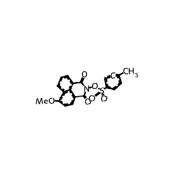 COc1ccc2c3c(cccc13)C(=O)N(OS(=O)(=O)c1ccc(C)cc1)C2=O